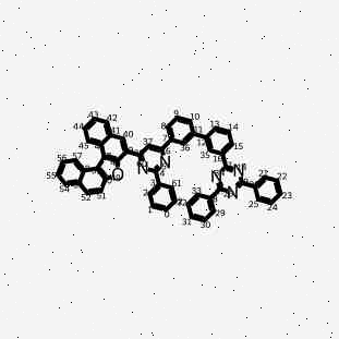 c1ccc(-c2nc(-c3cccc(-c4cccc(-c5nc(-c6ccccc6)nc(-c6ccccc6)n5)c4)c3)cc(-c3cc4ccccc4c4c3oc3ccc5ccccc5c34)n2)cc1